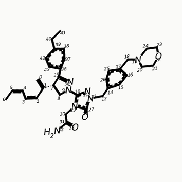 C=C(/C=C\C=C/C)[C@H]1CN(c2nn(Cc3ccc(CN4CCOCC4)cc3)c(=O)n2CC(N)=O)N=C1c1ccc(CC)cc1